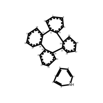 C1=CC=CNC=C1.c1ccc2c(c1)-c1ccccc1-c1ccccc1-c1ccccc1-2